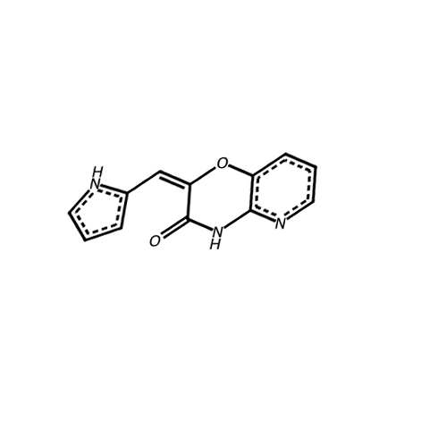 O=C1Nc2ncccc2O/C1=C/c1ccc[nH]1